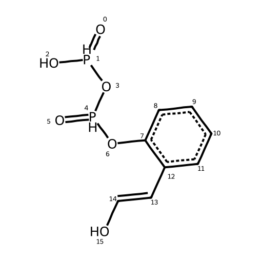 O=[PH](O)O[PH](=O)Oc1ccccc1C=CO